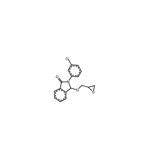 O=C1c2ccccc2C(OCC2CO2)N1c1cccc(Cl)c1